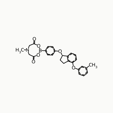 Cc1cccc(Oc2cccc3c2CC[C@H]3Oc2ccc(B3OC(=O)CN(C)CC(=O)O3)cc2)c1